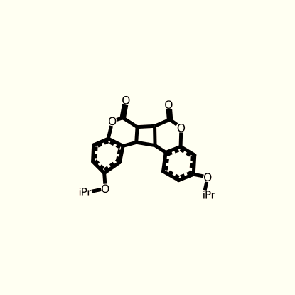 CC(C)Oc1ccc2c(c1)OC(=O)C1C3C(=O)Oc4ccc(OC(C)C)cc4C3C21